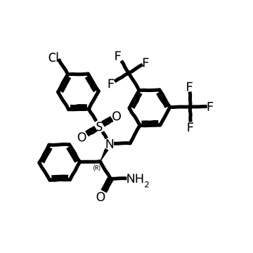 NC(=O)[C@@H](c1ccccc1)N(Cc1cc(C(F)(F)F)cc(C(F)(F)F)c1)S(=O)(=O)c1ccc(Cl)cc1